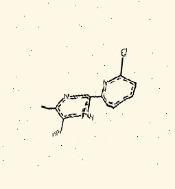 CCCc1[nH]c(-c2cccc(Cl)n2)nc1C